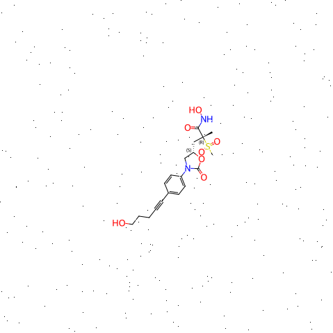 C[C@@](C[C@H]1CN(c2ccc(C#CCCCO)cc2)C(=O)O1)(C(=O)NO)S(C)(=O)=O